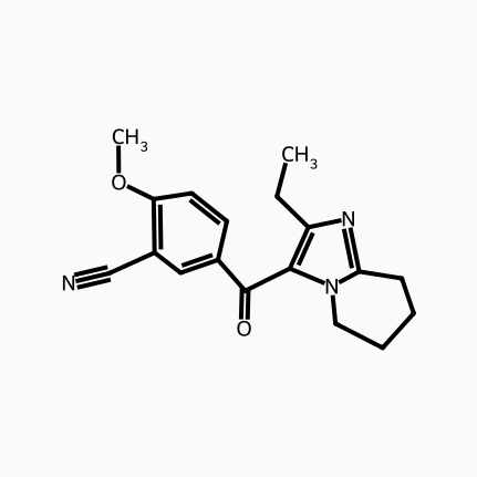 CCc1nc2n(c1C(=O)c1ccc(OC)c(C#N)c1)CCCC2